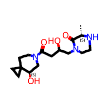 C[C@@H]1NCCN(CC(O)CC(=O)N2CCC3(CC3)[C@H](O)C2)C1=O